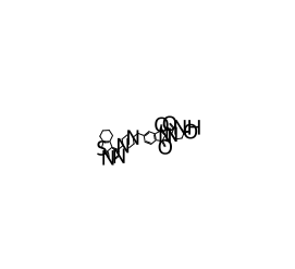 O=C1CCN(N2C(=O)c3ccc(CN4CCN(c5ncnc6sc7c(c56)CCCC7)CC4)cc3C2=O)C(=O)N1